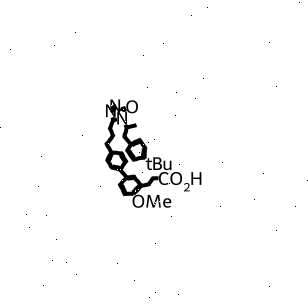 COc1ccc(-c2ccc(CCCC3N=NC(=O)N3C(C)Cc3ccc(C(C)(C)C)cc3)cc2)cc1CCC(=O)O